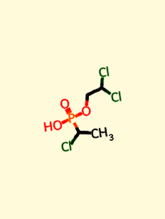 CC(Cl)P(=O)(O)OCC(Cl)Cl